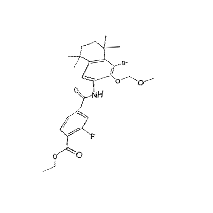 CCOC(=O)c1ccc(C(=O)Nc2cc3c(c(Br)c2OCOC)C(C)(C)CCC3(C)C)cc1F